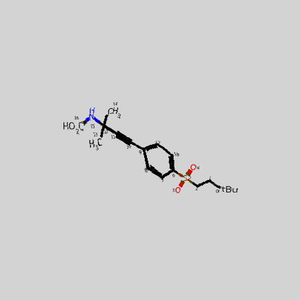 CC(C)(C)CCS(=O)(=O)c1ccc(C#CC(C)(C)NC(=O)O)cc1